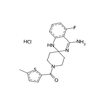 Cc1ccc(C(=O)N2CCC3(CC2)N=C(N)c2c(F)cccc2N3)s1.Cl